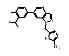 Cc1nnc(Cn2ncc3ncc(-c4ccc(F)c(C(F)F)c4)cc32)[nH]1